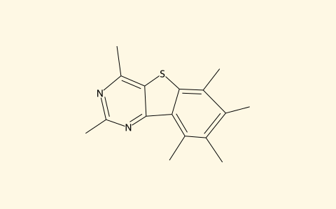 Cc1nc(C)c2sc3c(C)c(C)c(C)c(C)c3c2n1